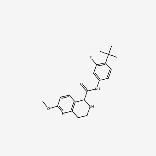 COc1ccc2c(n1)CCNC2C(=O)Nc1ccc(C(C)(C)C)c(F)c1